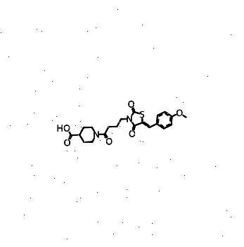 COc1ccc(/C=C2\SC(=O)N(CCCC(=O)N3CCC(C(=O)O)CC3)C2=O)cc1